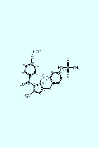 Cc1cc(Cc2ccc(NS(C)(=O)=O)cn2)n(C)c1C(=O)c1ccc(Cl)cc1.Cl